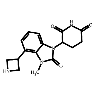 Cn1c(=O)n(C2CCC(=O)NC2=O)c2cccc(C3CNC3)c21